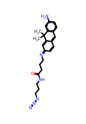 CC1(C)C2=C/C(=N/CCCC(=O)NCCCN=[N+]=[N-])C=CC2=Cc2ccc(N)cc21